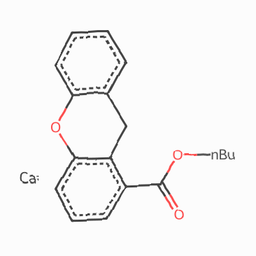 CCCCOC(=O)c1cccc2c1Cc1ccccc1O2.[Ca]